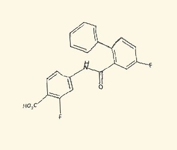 O=C(O)c1ccc(NC(=O)c2cc(F)ccc2-c2ccccc2)cc1F